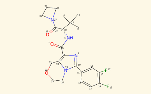 CC(C)(C)[C@H](NC(=O)c1nc(-c2ccc(F)c(F)c2)n2c1COCC2)C(=O)N1CCC1